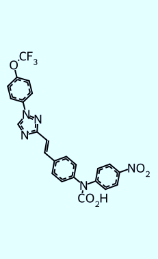 O=C(O)N(c1ccc(C=Cc2ncn(-c3ccc(OC(F)(F)F)cc3)n2)cc1)c1ccc([N+](=O)[O-])cc1